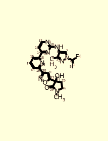 Cc1nn(C(F)F)cc1Nc1nccc(-c2cccc(-c3cc(C4(O)CCN(C)C4=O)on3)n2)n1